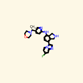 C[C@H](c1ccc(Nc2ccc(-c3cnc4cc(F)ccn34)c3c2CNC3)nc1)N1CCOCC1